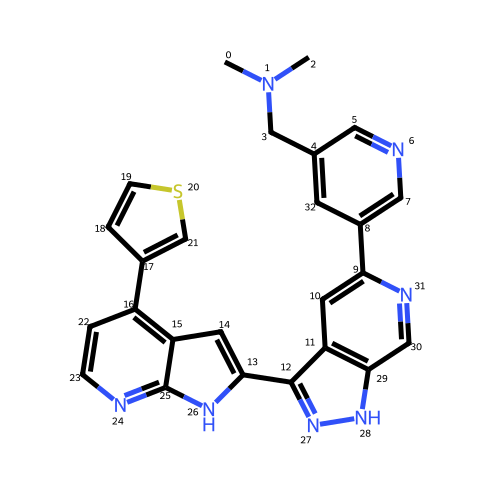 CN(C)Cc1cncc(-c2cc3c(-c4cc5c(-c6ccsc6)ccnc5[nH]4)n[nH]c3cn2)c1